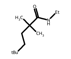 CCNC(=O)C(C)(C)CCC(C)(C)C